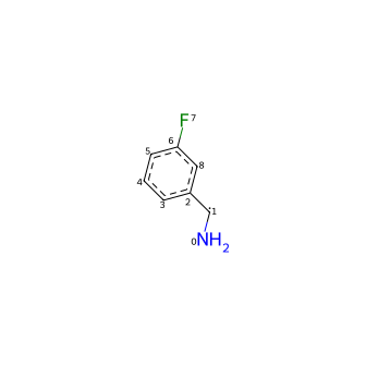 N[CH]c1cccc(F)c1